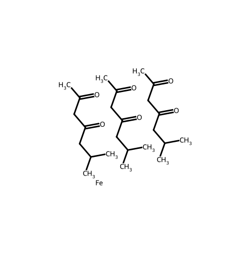 CC(=O)CC(=O)CC(C)C.CC(=O)CC(=O)CC(C)C.CC(=O)CC(=O)CC(C)C.[Fe]